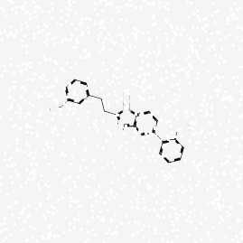 CC(C)c1ccccc1-c1ccc2[nH]c(CCc3cccc(Cl)c3)nc2c1